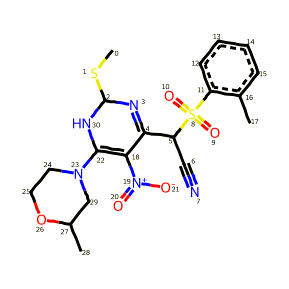 CSC1N=C(C(C#N)S(=O)(=O)c2ccccc2C)C([N+](=O)[O-])=C(N2CCOC(C)C2)N1